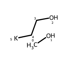 CO.OC[CH2][K]